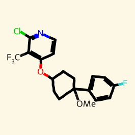 COC1(c2ccc(F)cc2)CCC(Oc2ccnc(Cl)c2C(F)(F)F)CC1